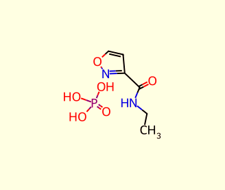 CCNC(=O)c1ccon1.O=P(O)(O)O